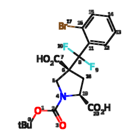 CC(C)(C)OC(=O)N1C[C@](C(=O)O)(C(F)(F)c2ccccc2Br)C[C@H]1C(=O)O